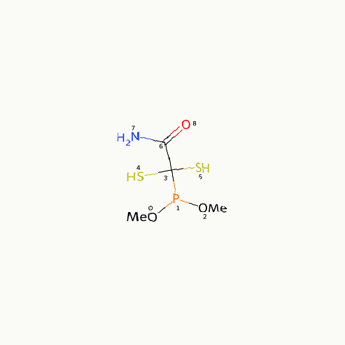 COP(OC)C(S)(S)C(N)=O